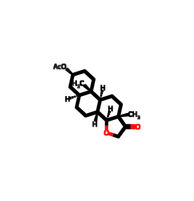 CC(=O)O[C@H]1CC[C@@]2(C)[C@@H](CC[C@@H]3[C@@H]2CC[C@]2(C)C(=O)CO[C@@H]32)C1